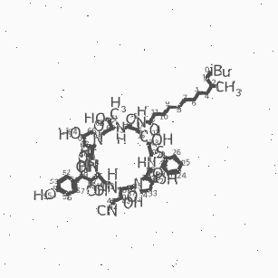 CCC(C)CC(C)CCCCCCCCC(=O)N[C@H]1C[C@@H](O)[C@@H](Sc2ccccc2)NC(=O)[C@@H]2[C@@H](O)CCN2C(=O)[C@H]([C@H](O)CC#N)NC(=O)[C@H]([C@H](O)[C@@H](O)c2ccc(O)cc2)NC(=O)[C@@H]2C[C@@H](O)CN2C(=O)[C@H]([C@@H](C)O)NC1=O